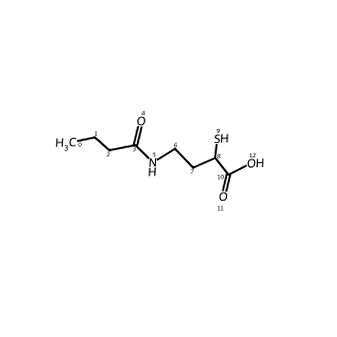 CCCC(=O)NCCC(S)C(=O)O